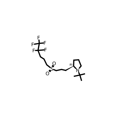 CC(C)(C)N1CCC[C@@H]1CCCS(=O)(=O)CCCC(F)(F)C(F)(F)F